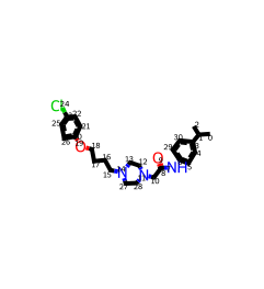 CC(C)c1ccc(NC(=O)CN2CCN(CCCCOc3ccc(Cl)cc3)CC2)cc1